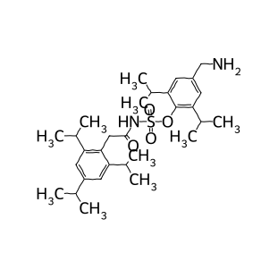 CC(C)c1cc(C(C)C)c(CC(=O)NS(=O)(=O)Oc2c(C(C)C)cc(CN)cc2C(C)C)c(C(C)C)c1